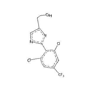 OCc1cnn(-c2c(Cl)cc(C(F)(F)F)cc2Cl)n1